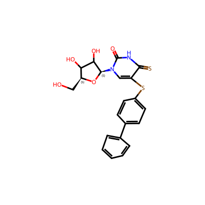 O=c1[nH]c(=S)c(Sc2ccc(-c3ccccc3)cc2)cn1[C@H]1O[C@@H](CO)C(O)C1O